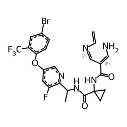 C=C/N=C\C(=C/N)C(=O)NC1(C(=O)NC(C)c2ncc(Oc3ccc(Br)cc3C(F)(F)F)cc2F)CC1